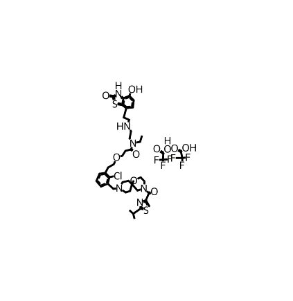 CCN(CCNCCc1ccc(O)c2[nH]c(=O)sc12)C(=O)CCOCCc1cccc(CN2CCC3(CC2)CN(C(=O)c2csc(C(C)C)n2)CCO3)c1Cl.O=C(O)C(F)(F)F.O=C(O)C(F)(F)F